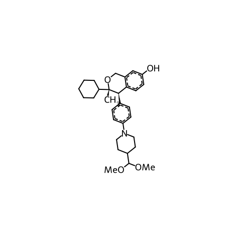 COC(OC)C1CCN(c2ccc([C@@H]3c4ccc(O)cc4CO[C@@]3(C)C3CCCCC3)cc2)CC1